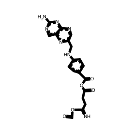 N=C(CCC(=O)OC(=O)c1ccc(NCc2cnc3nc(N)ncc3n2)cc1)OC=O